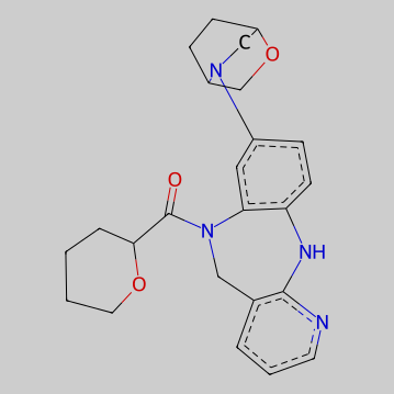 O=C(C1CCCCO1)N1Cc2cccnc2Nc2ccc(N3CC4CCC3CO4)cc21